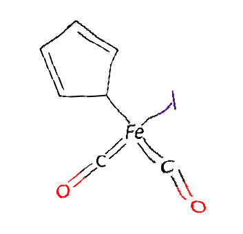 O=[C]=[Fe]([I])(=[C]=O)[CH]1C=CC=C1